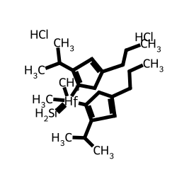 CCCC1=CC(C(C)C)=[C]([Hf]([CH3])([CH3])(=[SiH2])[C]2=C(C(C)C)C=C(CCC)C2)C1.Cl.Cl